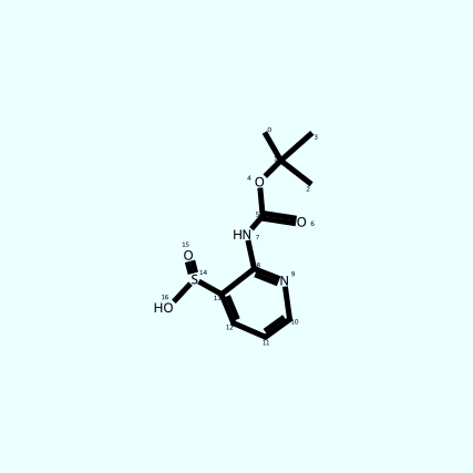 CC(C)(C)OC(=O)Nc1ncccc1S(=O)O